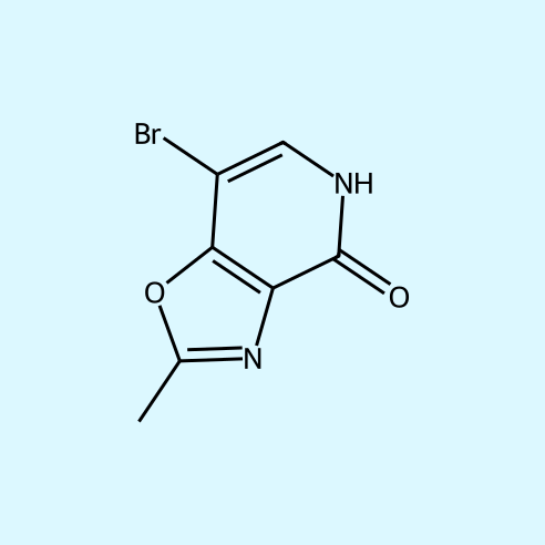 Cc1nc2c(=O)[nH]cc(Br)c2o1